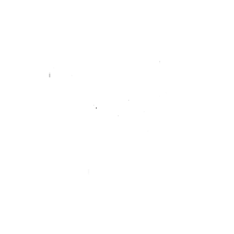 O=C1OC(c2ccc(O)cn2)(c2ccc(O)cn2)c2ccccc21